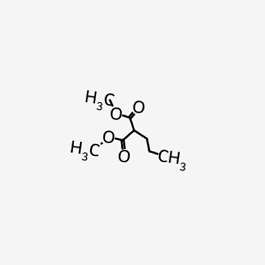 CCCC(C(=O)OC)C(=O)OC